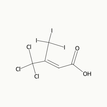 O=C(O)/C=C(/C(Cl)(Cl)Cl)C(I)(I)I